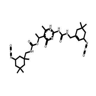 Cc1[nH]c(NC(=O)NCC2=CC(N=C=O)CC(C)(C)C2)nc(=O)c1C(C)OC(=O)NCC1(C)CC(N=C=O)CC(C)(C)C1